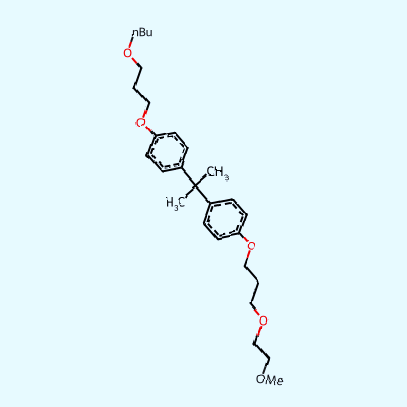 CCCCOCCCOc1ccc(C(C)(C)c2ccc(OCCCOCCOC)cc2)cc1